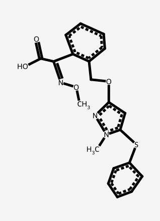 CO/N=C(/C(=O)O)c1ccccc1COc1cc(Sc2ccccc2)n(C)n1